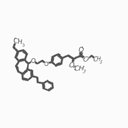 CCOC(=O)C(Cc1ccc(OCCOC2c3ccc(CC)cc3C=Cc3ccc(CCc4ccccc4)cc32)cc1)OC